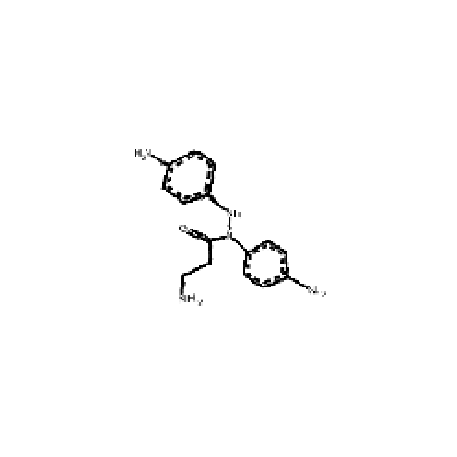 NCCC(=O)N(Nc1ccc(N)cc1)c1ccc(N)cc1